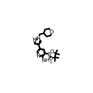 CC1(C)OB(c2cc(-c3cnn(CC4CCOCC4)c3)cnc2N)OC1(C)C